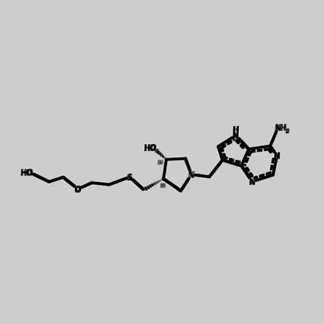 Nc1ncnc2c(CN3C[C@H](CSCCOCCO)[C@H](O)C3)c[nH]c12